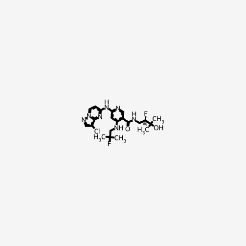 CC(C)(F)CNc1cc(Nc2ccn3ncc(Cl)c3n2)ncc1C(=O)NC[C@@H](F)C(C)(C)O